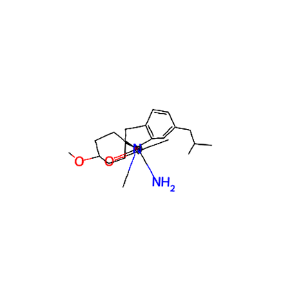 COC1CCC2(CC1)Cc1ccc(CC(C)C)cc1[C@]21N=C(N)N(C)C1=O